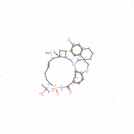 CO[C@H]1/C=C/CC[C@@H](C(C)(C)O)S(=O)(=O)NC(=O)c2ccc3c(c2)N(CC2CC[C@H]21)C[C@@]1(CCCc2cc(Cl)ccc21)CO3